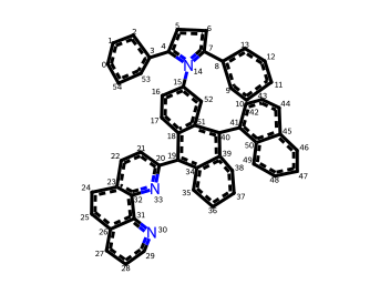 c1ccc(-c2ccc(-c3ccccc3)n2-c2ccc3c(-c4ccc5ccc6cccnc6c5n4)c4ccccc4c(-c4cccc5ccccc45)c3c2)cc1